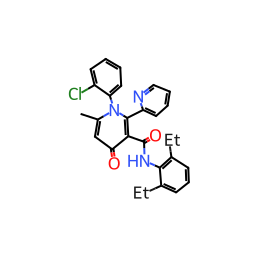 CCc1cccc(CC)c1NC(=O)c1c(-c2ccccn2)n(-c2ccccc2Cl)c(C)cc1=O